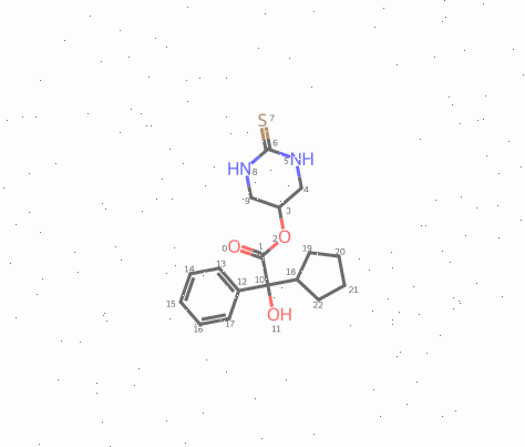 O=C(OC1CNC(=S)NC1)C(O)(c1ccccc1)C1CCCC1